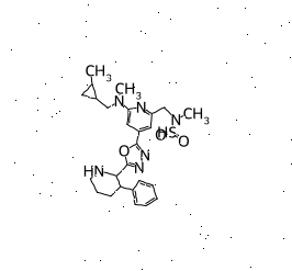 CC1CC1CN(C)c1cc(-c2nnc(C3NCCCC3c3ccccc3)o2)cc(CN(C)[SH](=O)=O)n1